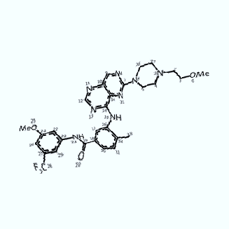 COCCN1CCN(c2ncc3ncnc(Nc4cc(C(=O)Nc5cc(OC)cc(C(F)(F)F)c5)ccc4C)c3n2)CC1